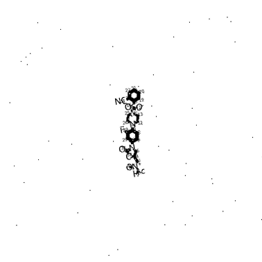 CC(=O)[N@@H+]([O-])CC1CN(c2ccc(N3CCN(S(=O)(=O)c4ccccc4C#N)CC3)c(F)c2)C(=O)O1